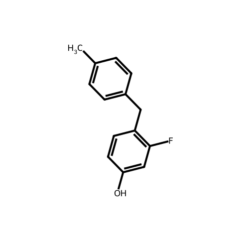 Cc1ccc(Cc2ccc(O)cc2F)cc1